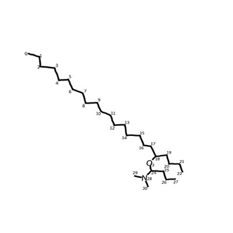 CCCCCCCCCCCCCCCCCCC(CCCC)OC(CCC)N(C)C